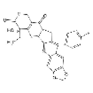 CC[C@@]1(O)C(=O)OCc2c1cc1n(c2=O)Cc2c-1nc1cc3c(cc1c2-c1ccc(F)cc1)OCO3